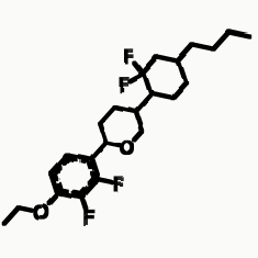 CCCCC1CCC(C2CCC(c3ccc(OCC)c(F)c3F)OC2)C(F)(F)C1